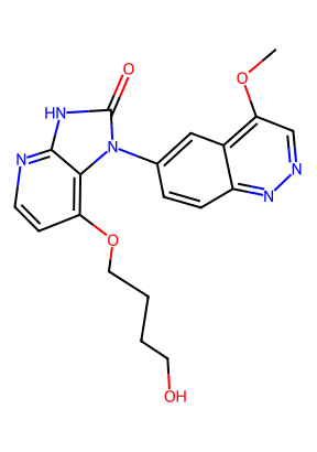 COc1cnnc2ccc(-n3c(=O)[nH]c4nccc(OCCCCO)c43)cc12